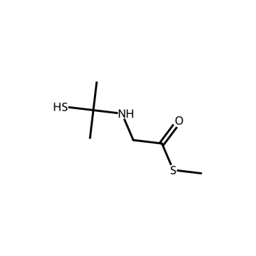 CSC(=O)CNC(C)(C)S